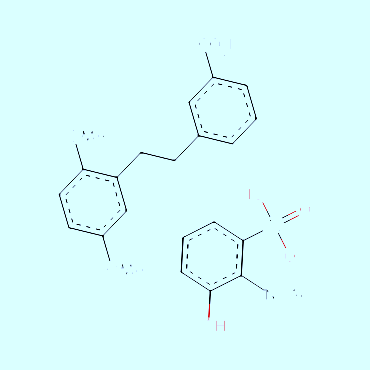 CC(=O)Nc1c(O)cccc1[As](=O)(O)O.COc1ccc(OC)c(CCc2cccc(C(=O)O)c2)c1